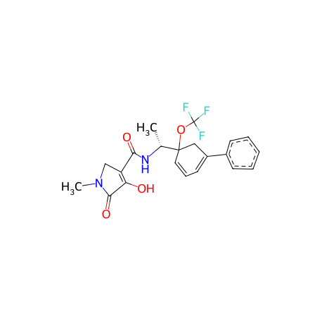 C[C@@H](NC(=O)C1=C(O)C(=O)N(C)C1)C1(OC(F)(F)F)C=CC=C(c2ccccc2)C1